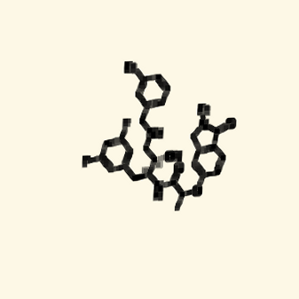 CCc1cccc(CNC[C@H](O)[C@H](Cc2cc(F)cc(F)c2)NC(=O)C(C)Oc2ccc3c(c2)CN(CC)C3=O)c1